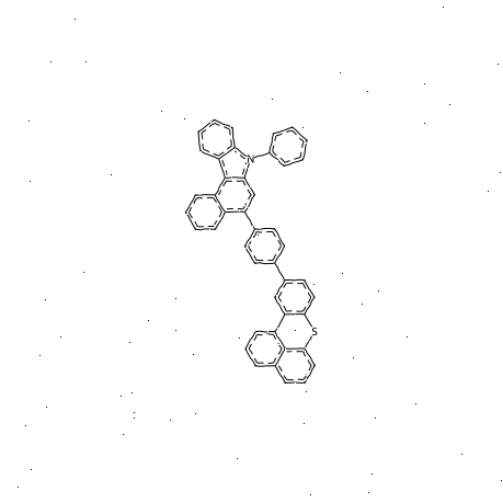 c1ccc(-n2c3ccccc3c3c4ccccc4c(-c4ccc(-c5ccc6c(c5)-c5cccc7cccc(c57)S6)cc4)cc32)cc1